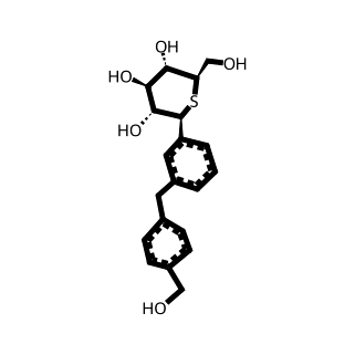 OCc1ccc(Cc2cccc([C@@H]3S[C@H](CO)[C@@H](O)[C@H](O)[C@H]3O)c2)cc1